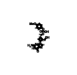 COc1ccc(OP(=O)(O)OC[C@H]2C[C@@H](n3cnc4c(=O)[nH]c(N)nc43)[C@@H]2CO)cc1